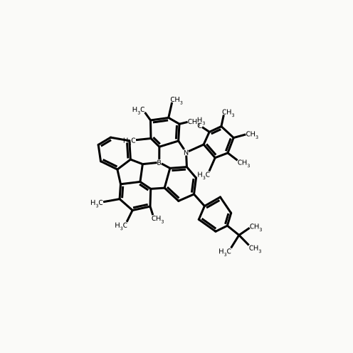 Cc1c(C)c(C)c(N2c3cc(-c4ccc(C(C)(C)C)cc4)cc4c3B(c3c(C)c(C)c(C)c(C)c32)C2c3ccccc3-c3c(C)c(C)c(C)c-4c32)c(C)c1C